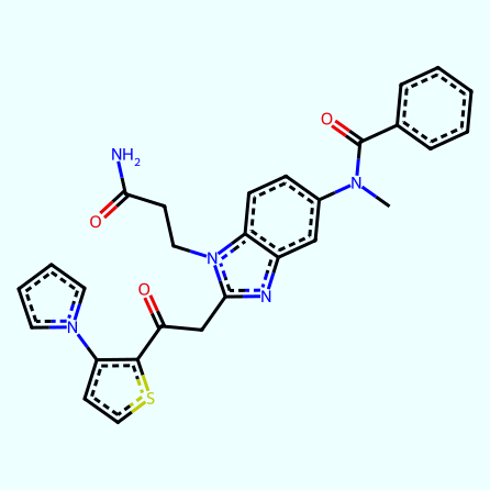 CN(C(=O)c1ccccc1)c1ccc2c(c1)nc(CC(=O)c1sccc1-n1cccc1)n2CCC(N)=O